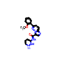 O=C(NC1=CC=CNN1)c1cnc2ccc(-c3ccccc3OC(F)(F)F)nn12